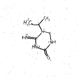 CC(C)N1CNC(=O)NC1=N